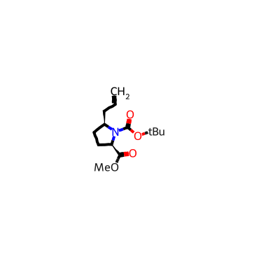 C=CC[C@@H]1CC[C@H](C(=O)OC)N1C(=O)OC(C)(C)C